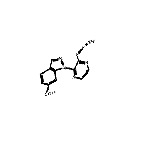 N=[N+]=Nc1nccnc1-n1ncc2ccc(C(=O)[O-])cc21